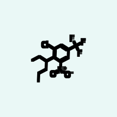 CCCC(CC)c1c(Cl)cc(C(F)(F)F)cc1[N+](=O)[O-]